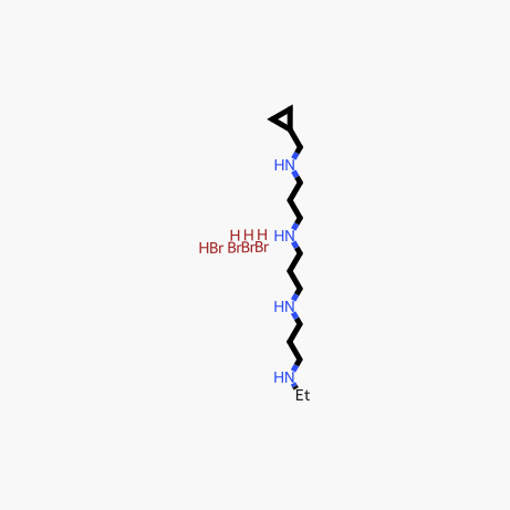 Br.Br.Br.Br.CCNCCCNCCCNCCCNCC1CC1